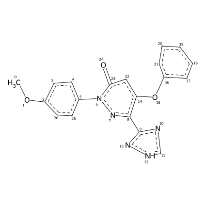 COc1ccc(-n2nc(-c3nc[nH]n3)c(Oc3ccccc3)cc2=O)cc1